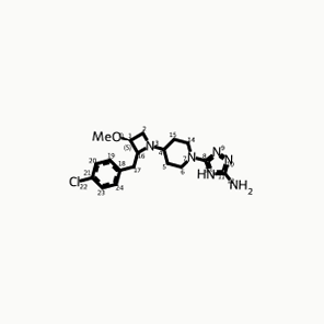 CO[C@H]1CN(C2CCN(c3nnc(N)[nH]3)CC2)C1Cc1ccc(Cl)cc1